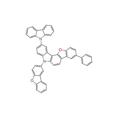 c1ccc(-c2ccc3oc4c(ccc5c4c4cc(-n6c7ccccc7c7ccccc76)ccc4n5-c4ccc5oc6ccccc6c5c4)c3c2)cc1